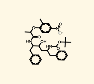 Cc1cc([N+](=O)[O-])ccc1OC(C)C(=O)NC(Cc1ccccc1)C(O)CC(Cc1ccccc1)NC(=O)OC(C)(C)C